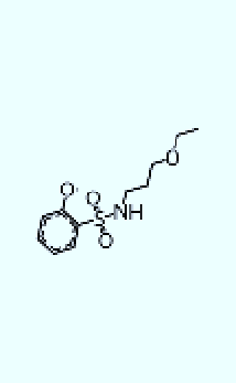 CCOCCCNS(=O)(=O)c1ccccc1[O]